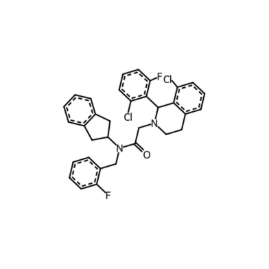 O=C(CN1CCc2cccc(Cl)c2C1c1c(F)cccc1Cl)N(Cc1ccccc1F)C1Cc2ccccc2C1